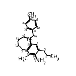 CCCc1cc2c(c(C)c1N)CCCCN2Cc1ccc(C)cc1